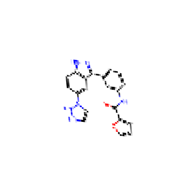 O=C(Nc1cccc(-c2n[nH]c3ccc(N4C=CNN4)cc23)c1)c1[c]cco1